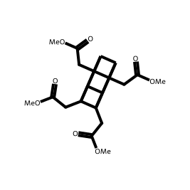 COC(=O)CC12C3C4C1(CC(=O)OC)C1C2C3(CC(=O)OC)C41CC(=O)OC